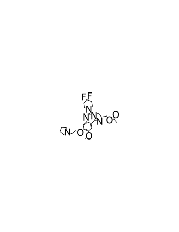 COc1cc2c(cc1OCCN1CCCC1)N=C(N1CCC(F)(F)CC1)N1CC(COC(C)=O)N=C21